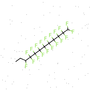 CCC(F)C(F)(F)C(F)(F)C(F)(F)C(F)(F)C(F)(F)C(F)(F)C(F)(F)C(F)(F)[C](F)F